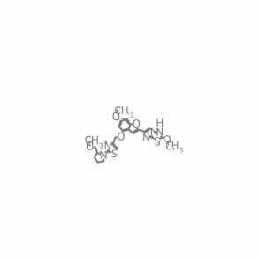 COCC1CCCN1c1nc(COc2cc(OC)cc3oc(-c4cn5c(n4)SC(OC)N5)cc23)cs1